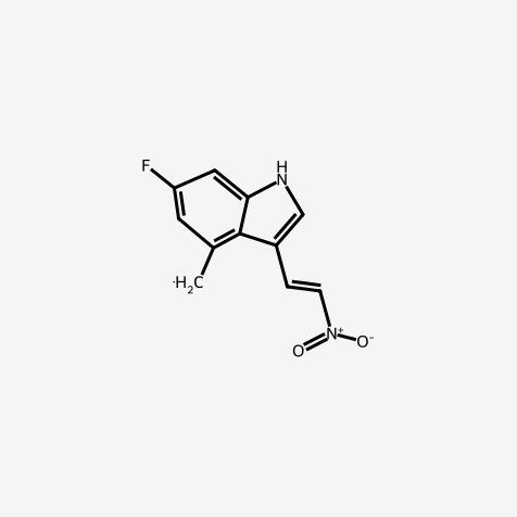 [CH2]c1cc(F)cc2[nH]cc(/C=C/[N+](=O)[O-])c12